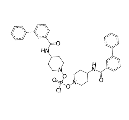 O=C(NC1CCN(OP(=O)(Cl)ON2CCC(NC(=O)c3cccc(-c4ccccc4)c3)CC2)CC1)c1cccc(-c2ccccc2)c1